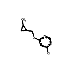 CC1CC1COc1cc(Cl)ncn1